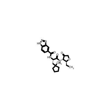 CC[C@@H]1OCC(=O)[C@H]1NC(=O)[C@H](CC1(C)CCCC1)NC(=O)c1ccc2[nH]nnc2c1